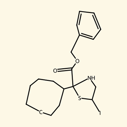 O=C(OCc1ccccc1)C1(C2CCCCCCC2)NCC(I)S1